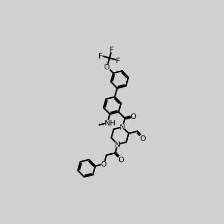 CNc1ccc(-c2cccc(OC(F)(F)F)c2)cc1C(=O)N1CCN(C(=O)COc2ccccc2)CC1C=O